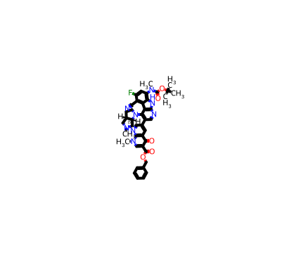 CN1C[C@@H]2CCN(c3c(-c4cnc5c(c4)c(=O)c(C(=O)OCc4ccccc4)cn5C)cnc4[nH]c5c(N(C)C(=O)OC(C)(C)C)cc(F)c(C#N)c5c34)[C@@H]2C1